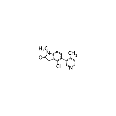 Cc1ccncc1-c1ccc2c(c1Cl)CC(=O)N2C